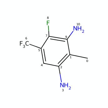 Cc1c(N)cc(C(F)(F)F)c(F)c1N